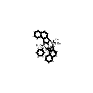 CCC[CH2][Zr]1([CH2]CCC)[CH]2C(C)=C(c3c2ccc2ccccc32)[Si](C)(c2ccccc2)C2=C(C)[CH]1c1ccc3ccccc3c12